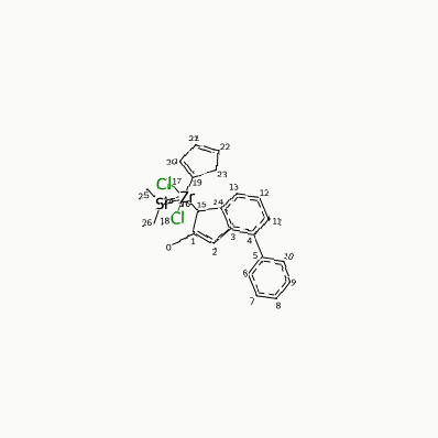 CC1=Cc2c(-c3ccccc3)cccc2[CH]1[Zr]([Cl])([Cl])([C]1=CC=CC1)=[Si](C)C